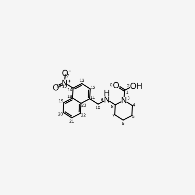 O=C(O)N1CCCCC1NCc1ccc([N+](=O)[O-])c2ccccc12